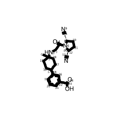 CC1(NCC(=O)N2[C@H](C#N)CC[C@@H]2C#N)CCC(c2cccc(C(=O)O)c2)CC1